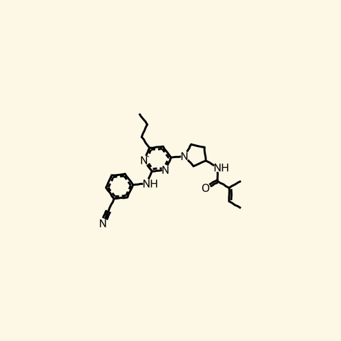 C/C=C(\C)C(=O)NC1CCN(c2cc(CCC)nc(Nc3cccc(C#N)c3)n2)C1